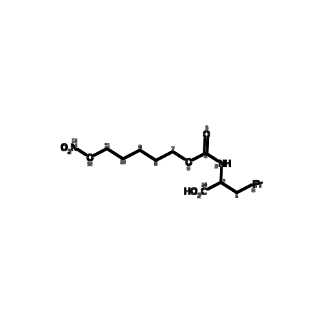 CC(C)CC(NC(=O)OCCCCCO[N+](=O)[O-])C(=O)O